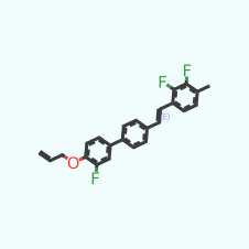 C=CCOc1ccc(-c2ccc(/C=C/c3ccc(C)c(F)c3F)cc2)cc1F